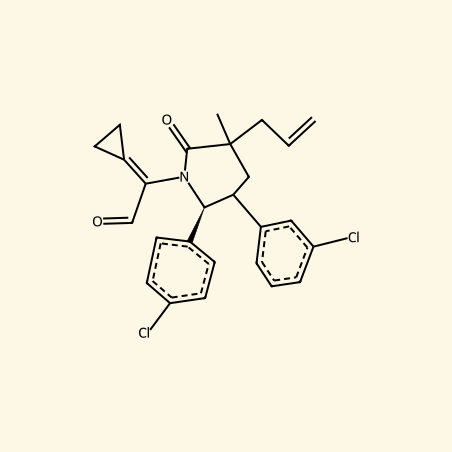 C=CCC1(C)CC(c2cccc(Cl)c2)[C@@H](c2ccc(Cl)cc2)N(C(C=O)=C2CC2)C1=O